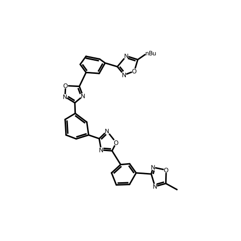 CCCCc1nc(-c2cccc(-c3nc(-c4cccc(-c5noc(-c6cccc(-c7noc(C)n7)c6)n5)c4)no3)c2)no1